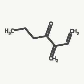 C=CC(=C)C(=O)CCC